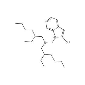 CCCCC(CC)CN(CC(CC)CCCC)C[SH]1C(S)=Nc2ccccc21